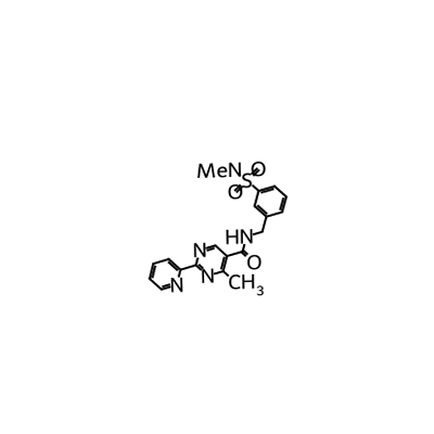 CNS(=O)(=O)c1cccc(CNC(=O)c2cnc(-c3ccccn3)nc2C)c1